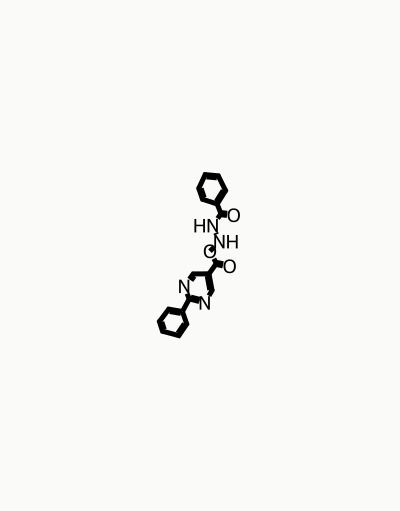 O=C(NNOC(=O)c1cnc(-c2ccccc2)nc1)c1ccccc1